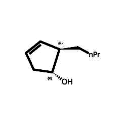 CCCC[C@@H]1C=CC[C@H]1O